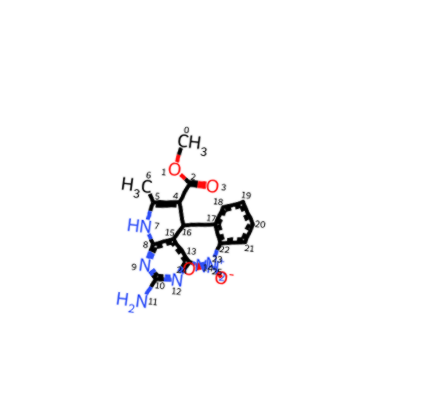 COC(=O)C1=C(C)Nc2nc(N)nc(N)c2C1c1ccccc1[N+](=O)[O-]